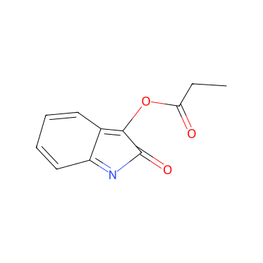 CCC(=O)OC1=c2ccccc2=NC1=O